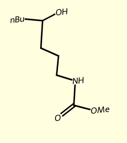 CCCCC(O)CCCNC(=O)OC